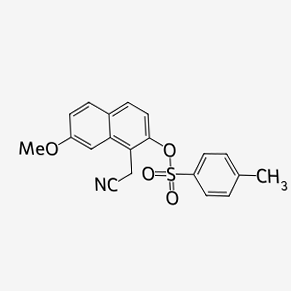 COc1ccc2ccc(OS(=O)(=O)c3ccc(C)cc3)c(CC#N)c2c1